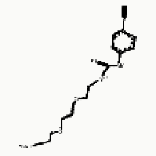 C#Cc1ccc(NC(=O)NCCOCCOCCNC(C)=O)cc1